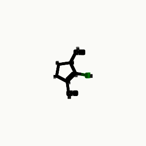 O=CC1=C(Cl)C(C=O)CC1